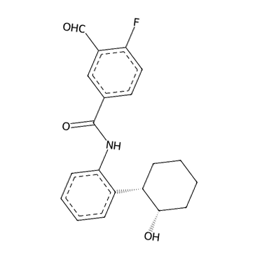 O=Cc1cc(C(=O)Nc2ccccc2[C@@H]2CCCC[C@@H]2O)ccc1F